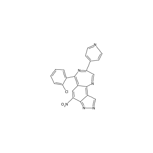 O=[N+]([O-])c1cc2c(-c3ccccc3Cl)nc(-c3ccncc3)cnc2c2cnnc12